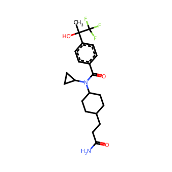 CC(O)(c1ccc(C(=O)N(C2CCC(CCC(N)=O)CC2)C2CC2)cc1)C(F)(F)F